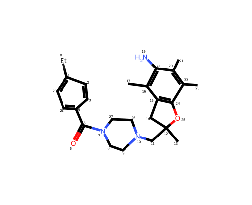 CCc1ccc(C(=O)N2CCN(CC3(C)Cc4c(C)c(N)c(C)c(C)c4O3)CC2)cc1